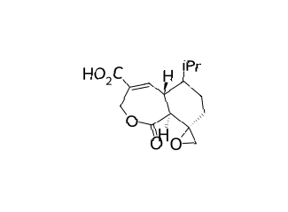 CC(C)C1CC[C@@]2(CO2)[C@H]2C(=O)OCC(C(=O)O)=C[C@H]12